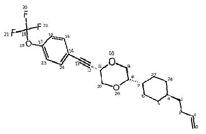 C=CCC[C@H]1CC[C@H](C2CO[C@@H](C#Cc3ccc(OC(F)(F)F)cc3)CO2)CC1